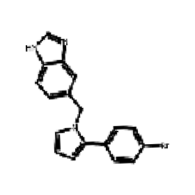 Brc1ccc(-c2cccn2Cc2ccc3[nH]cnc3c2)cc1